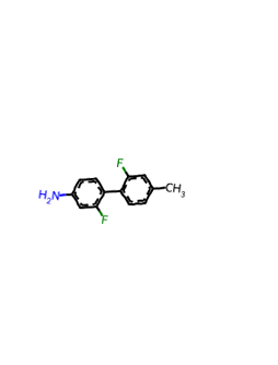 Cc1ccc(-c2ccc(N)cc2F)c(F)c1